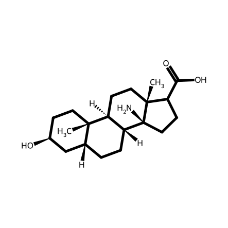 C[C@]12CC[C@H](O)C[C@H]1CC[C@@H]1[C@@H]2CC[C@]2(C)C(C(=O)O)CC[C@]12N